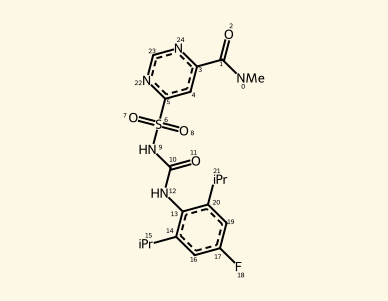 CNC(=O)c1cc(S(=O)(=O)NC(=O)Nc2c(C(C)C)cc(F)cc2C(C)C)ncn1